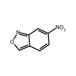 O=[N+]([O-])c1ccc2conc2c1